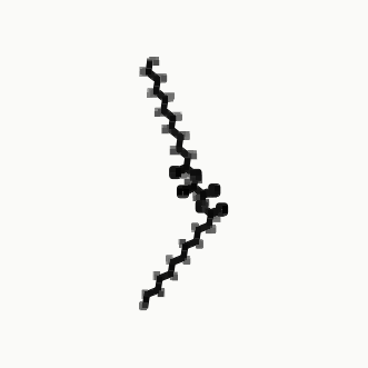 CCCCCCCCCCCC(=O)OC(=O)C(=O)OC(=O)CCCCCCCCCCC